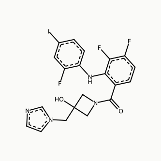 O=C(c1ccc(F)c(F)c1Nc1ccc(I)cc1F)N1CC(O)(Cn2ccnc2)C1